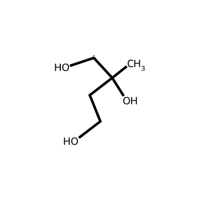 CC(O)([CH]O)CCO